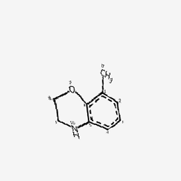 Cc1cccc2c1OCCN2